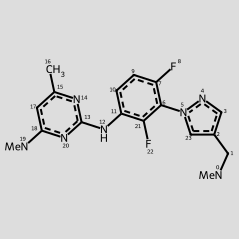 CNCc1cnn(-c2c(F)ccc(Nc3nc(C)cc(NC)n3)c2F)c1